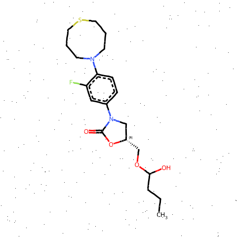 CCCC(O)OC[C@H]1CN(c2ccc(N3CCCSCCC3)c(F)c2)C(=O)O1